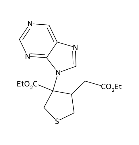 CCOC(=O)CC1CSCC1(C(=O)OCC)n1cnc2cncnc21